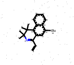 C=CC1=NC(C)(C)C(C)(C)c2c1cc(C(C)(C)C)c1ccccc21